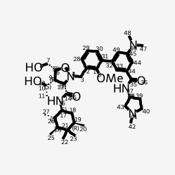 COc1c(CN2O[C@@H](CO)[C@@H]([C@H](C)O)[C@H]2C(=O)N[C@H]2C[C@@H](C)C(C)(C)[C@@H](C)[C@@H]2C)cccc1-c1cc(C(=O)N[C@@H]2CCN(C)C2)cc(N(C)C)c1